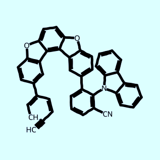 C#C/C=C\C(=C/C)c1ccc2oc3ccc4oc5ccc(-c6cccc(C#N)c6-n6c7ccccc7c7ccccc76)cc5c4c3c2c1